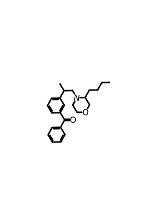 CCCCC1COCCN1CC(C)c1cccc(C(=O)c2ccccc2)c1